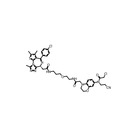 Cc1sc2c(c1C)C(c1ccc(Cl)cc1)=N[C@@H](CC(=O)NCCCOCCNC(=O)CN1CCOc3cc(N(CCC#N)C(=O)CCl)ccc31)c1nnc(C)n1-2